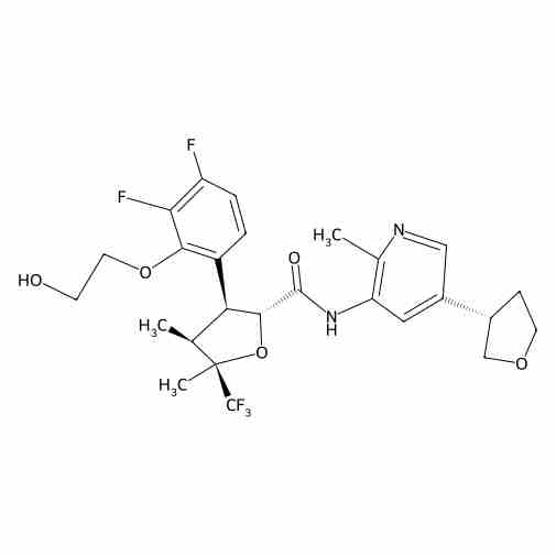 Cc1ncc([C@@H]2CCOC2)cc1NC(=O)[C@@H]1O[C@@](C)(C(F)(F)F)[C@@H](C)[C@H]1c1ccc(F)c(F)c1OCCO